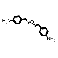 Nc1ccc(CSOSCc2ccc(N)cc2)cc1